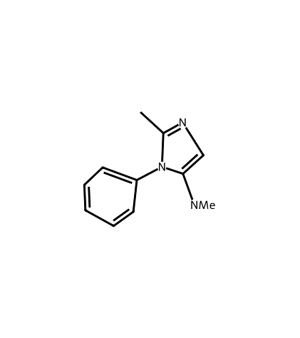 CNc1cnc(C)n1-c1ccccc1